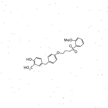 COc1ccccc1S(=O)(=O)CCCOc1ccc(Cc2ccc(O)c(C(=O)O)c2)cc1